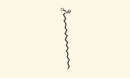 Cl[SiH](Cl)CCCCCCCCCCCCCCCCCCI